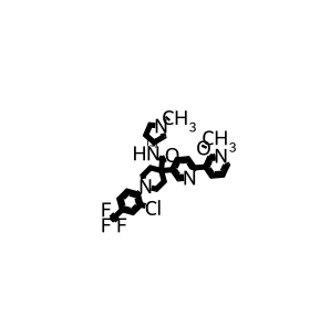 COc1ncccc1-c1ccc(C2(C(=O)N[C@H]3CCN(C)C3)CCN(c3ccc(C(F)(F)F)cc3Cl)CC2)cn1